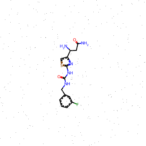 NC(=O)CC(N)c1csc(NC(=O)NCc2cccc(F)c2)n1